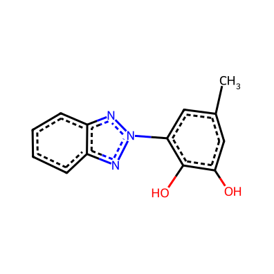 Cc1cc(O)c(O)c(-n2nc3ccccc3n2)c1